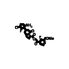 COCc1nccc(C(=O)COC(=O)[C@@H]2CCC3CC(c4c(N)ccc(Cl)c4F)=CC(=O)N32)c1F